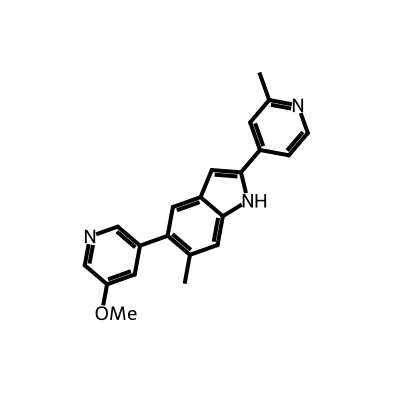 COc1cncc(-c2cc3cc(-c4ccnc(C)c4)[nH]c3cc2C)c1